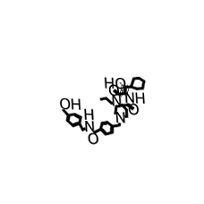 CCCN1C(=O)[C@@H]([C@H](O)C2CCCCC2)NC(=O)C12CCN(Cc1ccc(C(=O)NCc3ccc(CO)cc3)cc1)CC2